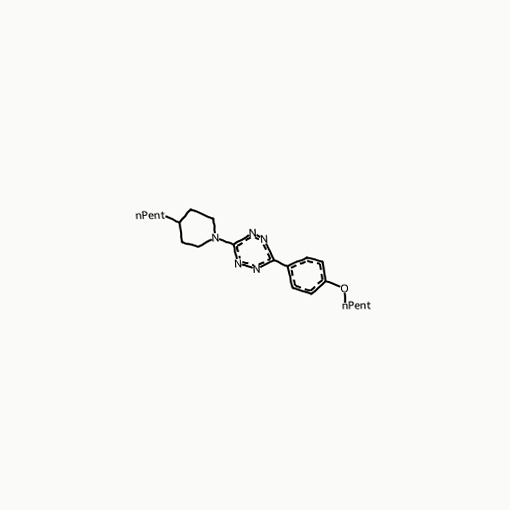 CCCCCOc1ccc(-c2nnc(N3CCC(CCCCC)CC3)nn2)cc1